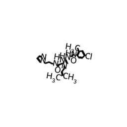 CC(C)=CCn1cc(NC(=O)Nc2ccc(Cl)cc2C)nc1C(=O)NCCCn1cccn1